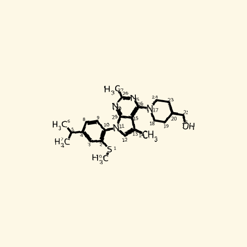 CSc1cc(C(C)C)ccc1-n1cc(C)c2c(N3CCC(CO)CC3)nc(C)nc21